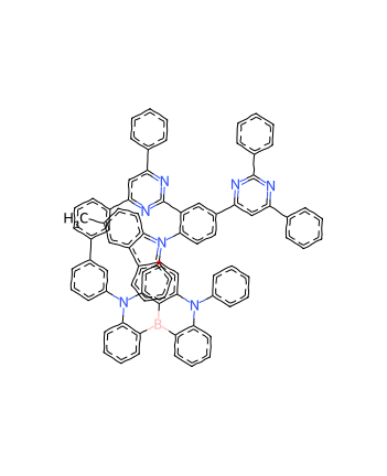 Cc1ccc2c(c1)c1ccccc1n2-c1ccc(-c2cc(-c3ccccc3)nc(-c3ccccc3)n2)cc1-c1nc(-c2ccccc2)cc(-c2cccc(-c3cccc(N4c5ccccc5B5c6ccccc6N(c6ccccc6)c6cccc4c65)c3)c2)n1